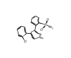 NS(=O)(=O)c1ccccc1-c1n[nH]cc1-c1ccccc1Cl